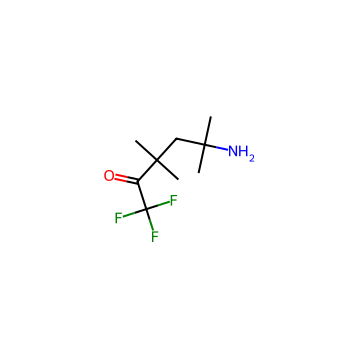 CC(C)(N)CC(C)(C)C(=O)C(F)(F)F